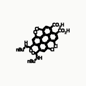 CCCCNC(=O)c1cc(Cl)c2c3c(Cl)cc(C(=O)O)c4c(C(=O)O)cc(Cl)c(c5c(Cl)cc(C(=O)NCCCC)c1c25)c43